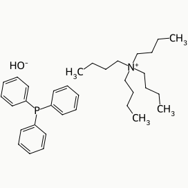 CCCC[N+](CCCC)(CCCC)CCCC.[OH-].c1ccc(P(c2ccccc2)c2ccccc2)cc1